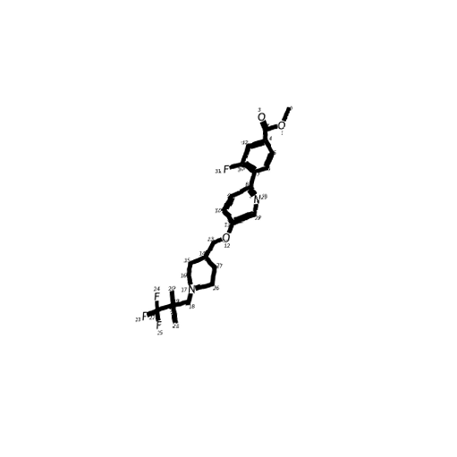 COC(=O)c1ccc(-c2ccc(OCC3CCN(CC(C)(C)C(F)(F)F)CC3)cn2)c(F)c1